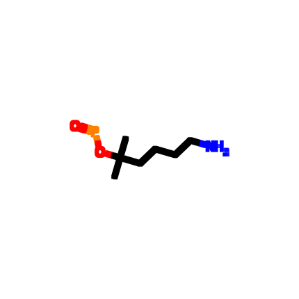 CC(C)(CCCCN)OP=O